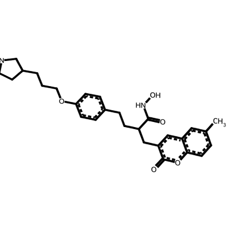 Cc1ccc2oc(=O)c(CC(CCc3ccc(OCCCC4CCNC4)cc3)C(=O)NO)cc2c1